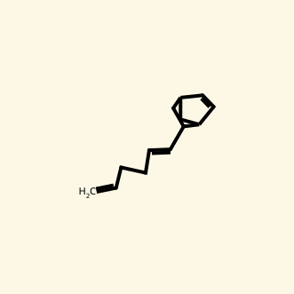 C=CCCC=CC1CC2C=CC1C2